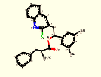 CC(=O)N[C@@H](Cc1ccccc1)C(=O)OC(Cc1cc2ccccc2nc1Cl)c1cc(C(C)(C)C)cc(C(C)(C)C)c1